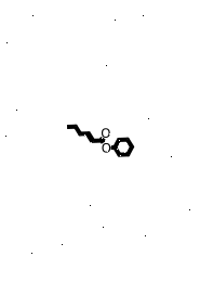 CCCC=CC(=O)OC1CCCCC1